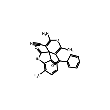 CC1=C(C(=O)c2ccccc2)C2(C(=O)Nc3c(C)cccc32)C(C#N)=C(N)O1